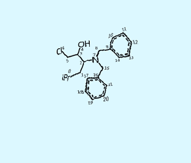 CC(C)CC(C(O)CCl)N(Cc1ccccc1)Cc1ccccc1